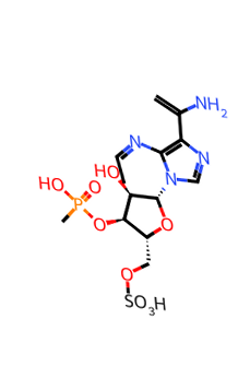 C=C(N)c1ncn([C@@H]2O[C@H](COS(=O)(=O)O)[C@@H](OP(C)(=O)O)[C@H]2O)c1/N=C\C